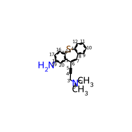 CN(C)CC#CC1=Cc2ccccc2Sc2ccc(N)cc21